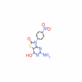 Nc1nc(O)c2sc(=O)n(-c3ccc([N+](=O)[O-])cc3)c2n1